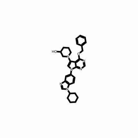 OC1CCCN(c2cn(-c3ccc4c(c3)ncn4C3CCCCC3)c3ncnc(OCc4ccccc4)c23)C1